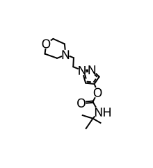 CC(C)(C)NC(=O)Oc1cnn(CCN2CCOCC2)c1